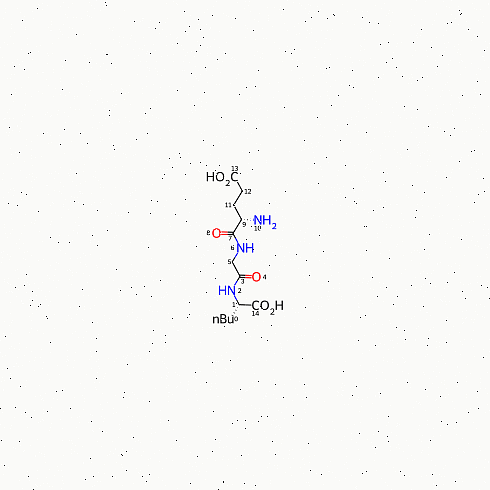 CCCC[C@H](NC(=O)CNC(=O)[C@@H](N)CCC(=O)O)C(=O)O